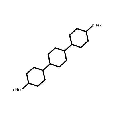 CCCCCCCCCC1CCC(C2CCC(C3CCC(CCCCCC)CC3)CC2)CC1